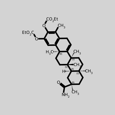 CCOC(=O)Oc1cc2c(c(C)c1OC(=O)OCC)CC=C1[C@@]2(C)CC[C@@]2(C)[C@@H]3C[C@](C)(C(N)=O)CC[C@]3(C)CC[C@]12C